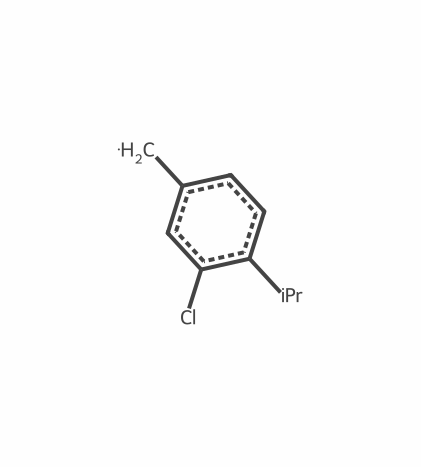 [CH2]c1ccc(C(C)C)c(Cl)c1